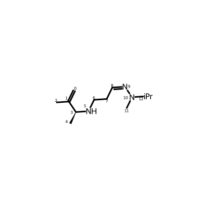 C=C(C)[C@H](C)NCC/C=N\N(C)C(C)C